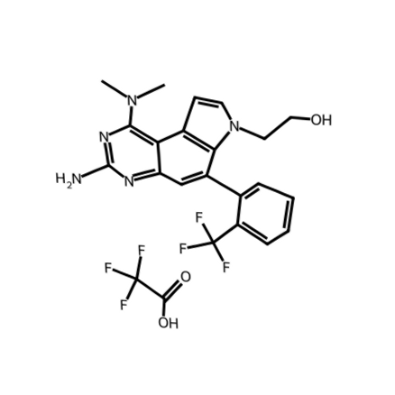 CN(C)c1nc(N)nc2cc(-c3ccccc3C(F)(F)F)c3c(ccn3CCO)c12.O=C(O)C(F)(F)F